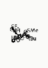 CSCOC1CC(n2cc(C#CCNC3OC3C(F)(F)F)c(NC(=O)c3ccccc3)nc2=O)OC1CO[Si](C)(C)C(C)(C)C